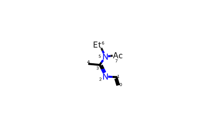 C=C/N=C(/C)N(CC)C(C)=O